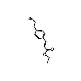 CCOC(=O)/C=C/c1ccc(CCBr)cc1